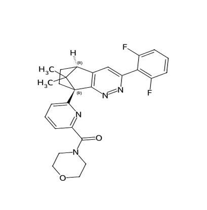 CC1(C)[C@H]2CC[C@@]1(c1cccc(C(=O)N3CCOCC3)n1)c1nnc(-c3c(F)cccc3F)cc12